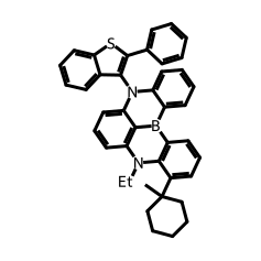 CCN1c2cccc3c2B(c2ccccc2N3c2c(-c3ccccc3)sc3ccccc23)c2cccc(C3(C)CCCCC3)c21